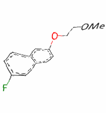 COCCOc1ccc2cc(F)ccc2c1